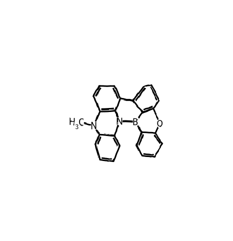 CN1c2ccccc2N2B3c4ccccc4Oc4cccc(c43)-c3cccc1c32